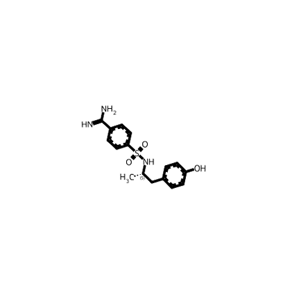 C[C@@H](Cc1ccc(O)cc1)NS(=O)(=O)c1ccc(C(=N)N)cc1